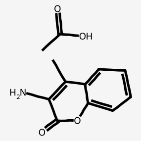 CC(=O)O.Cc1c(N)c(=O)oc2ccccc12